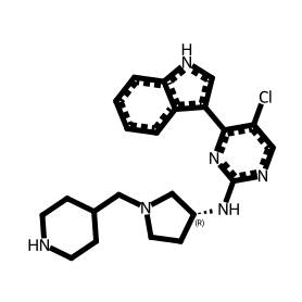 Clc1cnc(N[C@@H]2CCN(CC3CCNCC3)C2)nc1-c1c[nH]c2ccccc12